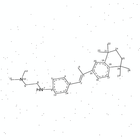 CC(=Cc1ccc(NCCN(C)C)cc1)c1ccc2c(c1)C(C)(C)CCC2(C)C